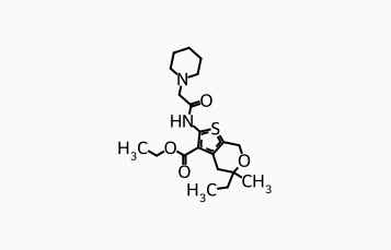 CCOC(=O)c1c(NC(=O)CN2CCCCC2)sc2c1CC(C)(CC)OC2